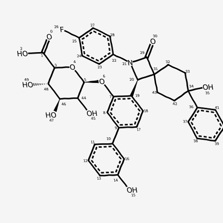 O=C(O)C1O[C@@H](Oc2cc(-c3cccc(O)c3)ccc2[C@H]2N(c3ccc(F)cc3)C(=O)C23CCC(O)(c2ccccc2)CC3)C(O)[C@@H](O)[C@@H]1O